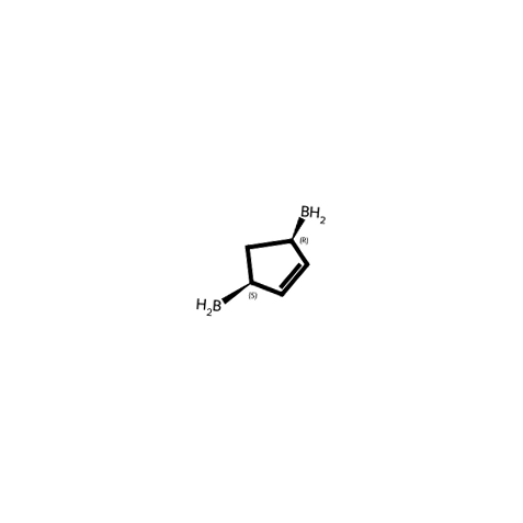 B[C@@H]1C=C[C@H](B)C1